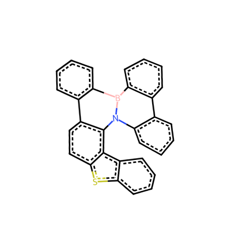 c1ccc2c(c1)B1c3ccccc3-c3ccc4sc5ccccc5c4c3N1c1ccccc1-2